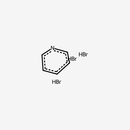 Br.Br.Br.c1ccncc1